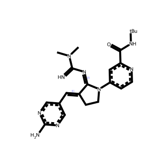 CN(C)C(=N)/N=C1\C(=C\c2cnc(N)nc2)CCN1c1ccnc(C(=O)NC(C)(C)C)c1